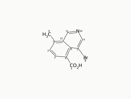 Cc1ccc(C(=O)O)c2c(Br)cncc12